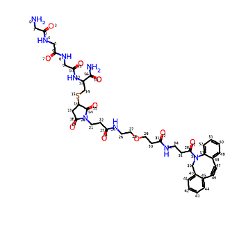 NCC(=O)NCC(=O)NCC(=O)NC(CSC1CC(=O)N(CCC(=O)NCCOCCC(=O)NCCC(=O)N2Cc3ccccc3C#Cc3ccccc32)C1=O)C(N)=O